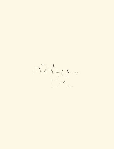 COC(=O)C1CCCC(CC2=C(c3ccc4c(c3)OCO4)C(=O)OC2(O)c2ccc(OC)cc2)C1